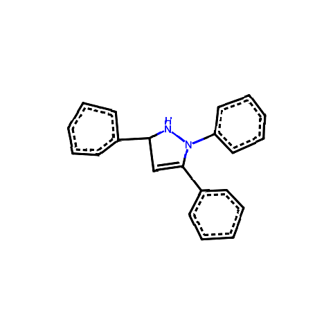 C1=C(c2ccccc2)N(c2ccccc2)NC1c1ccccc1